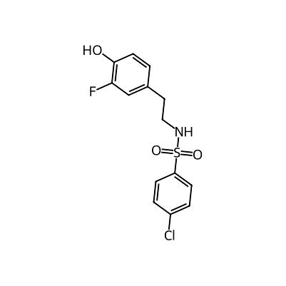 O=S(=O)(NCCc1ccc(O)c(F)c1)c1ccc(Cl)cc1